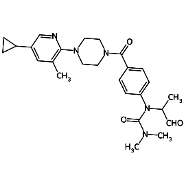 Cc1cc(C2CC2)cnc1N1CCN(C(=O)c2ccc(N(C(=O)N(C)C)C(C)C=O)cc2)CC1